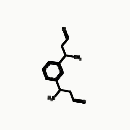 CC(CC=O)c1cccc(C(C)CC=O)c1